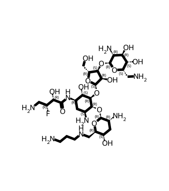 NCCCNC[C@H]1O[C@H](O[C@H]2[C@H](O[C@@H]3O[C@H](CO)[C@@H](O[C@H]4O[C@@H](CN)[C@@H](O)[C@H](O)[C@H]4N)[C@H]3O)[C@@H](O)[C@H](NC(=O)[C@@H](O)[C@H](F)CN)C[C@@H]2N)[C@H](N)C[C@@H]1O